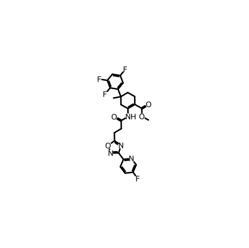 COC(=O)C1=C(NC(=O)CCc2nc(-c3ccc(F)cn3)no2)CC(C)(c2cc(F)cc(F)c2F)CC1